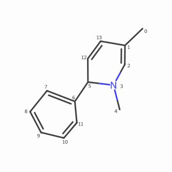 CC1=CN(C)C(c2ccccc2)C=C1